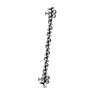 C=C(C)C(=O)NC(=O)OCOCCOCCOCCOCCOCCOCCOCCOCCOCOC(=O)NC(=O)C(=C)C